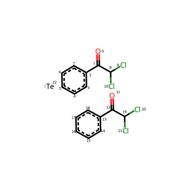 O=C(c1ccccc1)C(Cl)Cl.O=C(c1ccccc1)C(Cl)Cl.[Te]